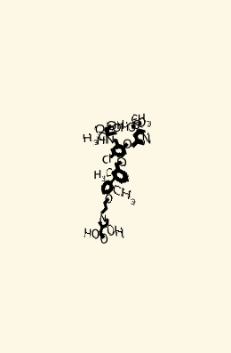 Cc1c(COc2cc(OCc3cncc(S(C)(=O)=O)c3)c(CNC(C)(CO)C(=O)O)cc2Cl)cccc1-c1cccc(OCCCN2CC(O)C(C(=O)O)C2)c1C